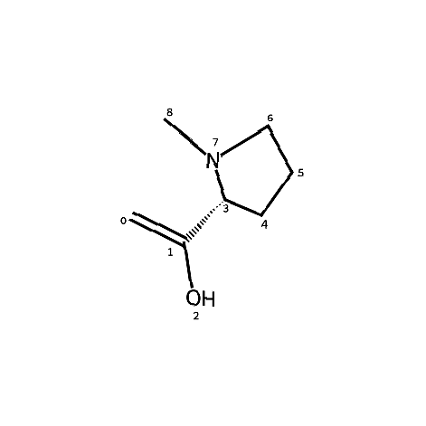 C=C(O)[C@H]1CCCN1C